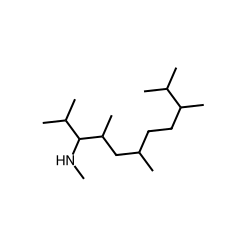 CNC(C(C)C)C(C)CC(C)CCC(C)C(C)C